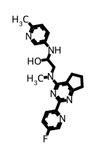 Cc1ccc(NC(O)CN(C)c2nc(-c3ccc(F)cn3)nc3c2CCC3)cn1